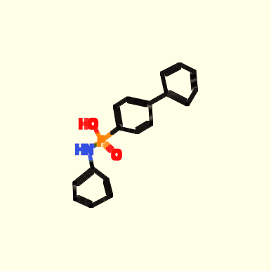 O=P(O)(Nc1ccccc1)c1ccc(-c2ccccc2)cc1